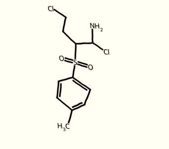 Cc1ccc(S(=O)(=O)C(CCCl)C(N)Cl)cc1